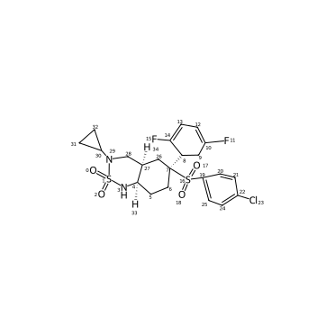 O=S1(=O)N[C@@H]2CC[C@](C3CC(F)=CC=C3F)(S(=O)(=O)c3ccc(Cl)cc3)C[C@@H]2CN1C1CC1